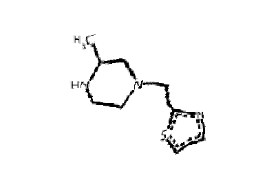 CC1CN(Cc2nccs2)CCN1